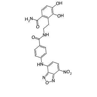 NC(=O)c1ccc(O)c(O)c1CCNC(=O)c1ccc(Nc2ccc([N+](=O)[O-])c3nonc23)cc1